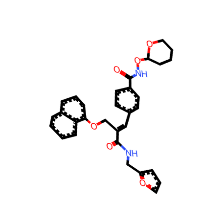 O=C(NCc1ccco1)/C(=C/c1ccc(C(=O)NOC2CCCCO2)cc1)COc1cccc2ccccc12